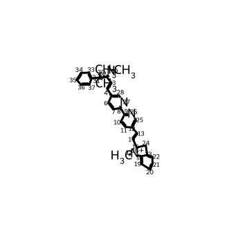 C/N=C(\C=C\c1ccc(-c2ccc(/C=C/C3=[N+](C)c4ccccc4C3)cn2)nc1)C(C)(C)c1ccccc1